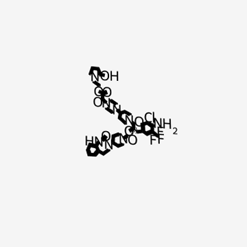 Nc1c(Cl)cc(C[C@@H](OC(=O)N2CCC(N3CCc4ccccc4NC3=O)CC2)C(=O)N2CCC(N3CCN(C(=O)C(=O)OCCN4CCCC4O)CC3)CC2)cc1C(F)(F)F